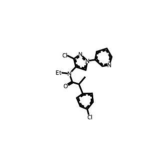 CCN(C(=O)C(C)c1ccc(Cl)cc1)c1cn(-c2cccnc2)nc1Cl